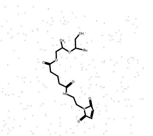 CC(COC(=O)CCCC(=O)NCCN1C(=O)C=CC1=O)OC(CO)C(C)(C)C